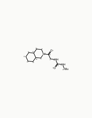 CCCCNC(=O)NCC(=O)N1CCC2CCCCC2C1